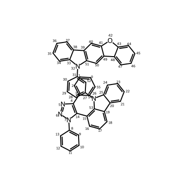 c1ccc(-c2nnn(-c3ccccc3)c2-c2cccc3c4ccccc4n(-c4cccc(-n5c6ccccc6c6cc7oc8ccccc8c7cc65)c4)c23)cc1